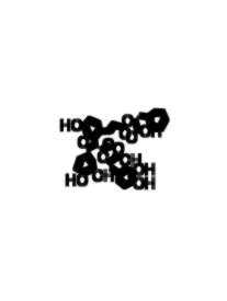 O=C(/C=C/c1ccc(O)c2c1[C@H](C(=O)O[C@H](Cc1ccc(O)c(O)c1)C(=O)O)[C@@H](c1ccc(O)c(O)c1)O2)O[C@H](Cc1ccccc1)C(=O)O